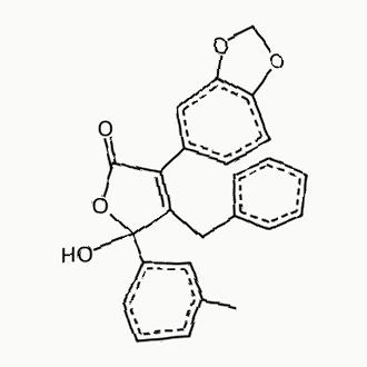 Cc1cccc(C2(O)OC(=O)C(c3ccc4c(c3)OCO4)=C2Cc2ccccc2)c1